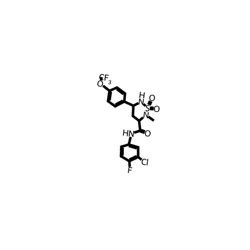 CN1C(C(=O)Nc2ccc(F)c(Cl)c2)CC(c2ccc(OC(F)(F)F)cc2)NS1(=O)=O